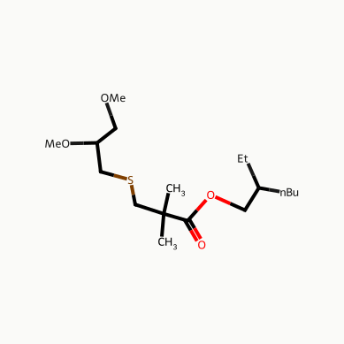 CCCCC(CC)COC(=O)C(C)(C)CSCC(COC)OC